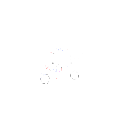 C[C@H]1OC(=O)C(C2COC2)NC(=O)[C@H](C)[C@H](O)[C@H](Cc2ccccc2)NC(=O)[C@H]1NC(=O)c1ncccc1O